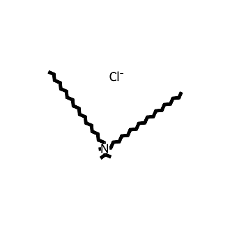 CCCCCCCCCCCCCCCCCC[N+](C)(CCCCCCCCCCCCCCCCCC)C(C)C.[Cl-]